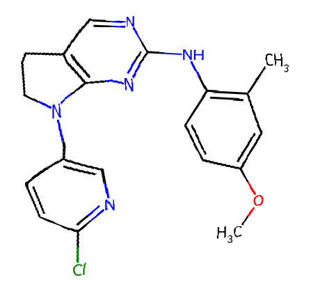 COc1ccc(Nc2ncc3c(n2)N(c2ccc(Cl)nc2)CC3)c(C)c1